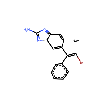 NC1=NC2C=C(C(=CBr)c3ccccc3)C=CC2=N1.[NaH]